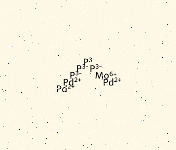 [Mo+6].[P-3].[P-3].[P-3].[P-3].[Pd+2].[Pd+2].[Pd+2]